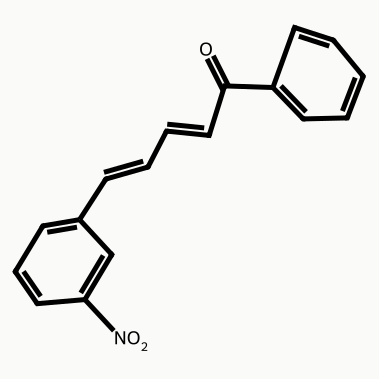 O=C(C=CC=Cc1cccc([N+](=O)[O-])c1)c1ccccc1